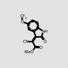 [C-]#[N+]/C(C(=O)OC)=C1/C(=O)Nc2ccc(OC(F)(F)F)cc21